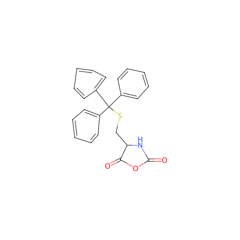 O=C1NC(CSC(c2ccccc2)(c2ccccc2)c2ccccc2)C(=O)O1